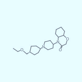 CCOC[C@H]1CC[C@@H](N2CCC(N3C(=O)COC4CCCCC43)CC2)CC1